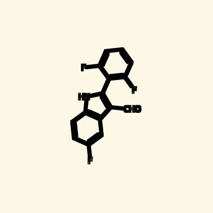 O=Cc1c(-c2c(F)cccc2F)[nH]c2ccc(F)cc12